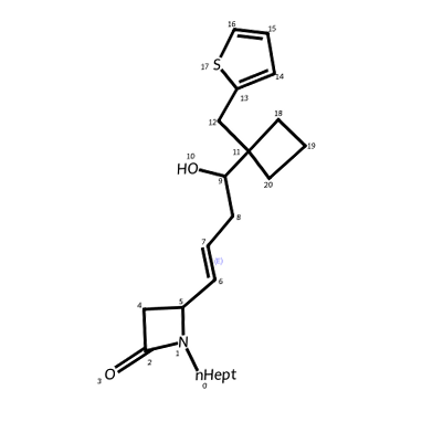 CCCCCCCN1C(=O)CC1/C=C/CC(O)C1(Cc2cccs2)CCC1